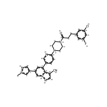 Cn1cc(-c2cc(-c3ccc(N4CCN(C(=O)CCc5cc(F)cc(Cl)c5)CC4)nc3)c3c(C#N)cnn3c2)cn1